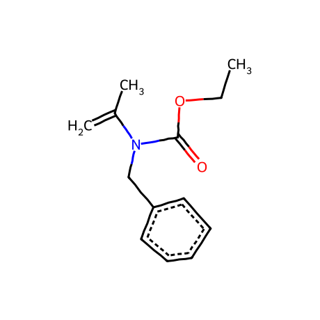 C=C(C)N(Cc1ccccc1)C(=O)OCC